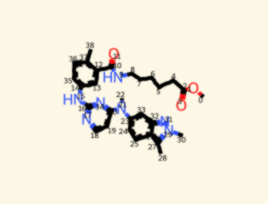 COC(=O)CCCCCNC(=O)c1cc(Nc2nccc(N(C)c3ccc4c(C)n(C)nc4c3)n2)ccc1C